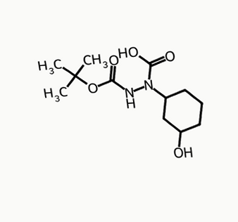 CC(C)(C)OC(=O)NN(C(=O)O)C1CCCC(O)C1